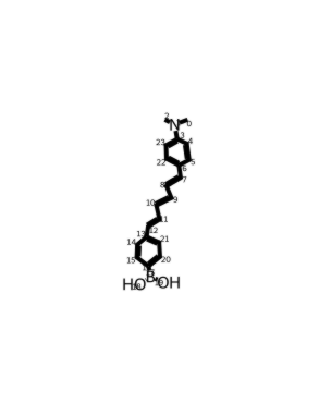 CN(C)c1ccc(C=CC=CC=Cc2ccc(B(O)O)cc2)cc1